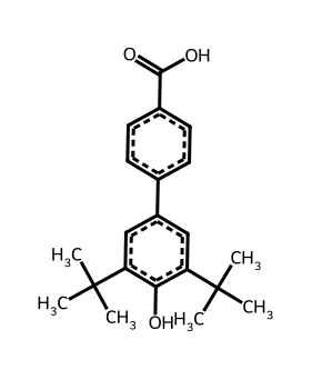 CC(C)(C)c1cc(-c2ccc(C(=O)O)cc2)cc(C(C)(C)C)c1O